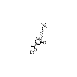 C=C(OCC)c1cnn(COCC[Si](C)(C)C)c(=O)c1